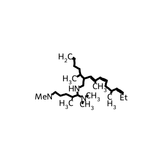 C=CCCC(C)C(/C=C(C)/C=C\CC(C)/C=C\CC)CNC([C@@H](C)CCCNC)N(C)C